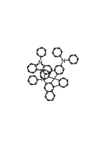 c1ccc(N(c2ccccc2)c2ccc3c(c2)-c2ccccc2C32c3ccccc3-c3c2c(N(c2ccccc2)c2cccc4c2c2ccccc2n4-c2ccccc2)cc2ccccc32)cc1